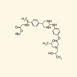 C=C(NCC(=O)OC(C)(C)C)c1ccc(C2CNC(Nc3ccc(OCCN(CC(C)O)CC(C)O)cc3)NC2)cc1